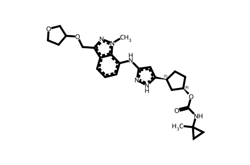 Cn1nc(COC2CCOC2)c2cccc(Nc3cc([C@H]4CC[C@@H](OC(=O)NC5(C)CC5)C4)[nH]n3)c21